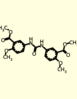 COC(=O)c1cc(NC(=O)Nc2ccc(OC)c(C(=O)OC)c2)ccc1OC